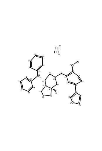 COc1ccc(-c2ccoc2)cc1CN1C[C@@H]2CCCN2[C@H](C(c2ccccc2)c2ccccc2)C1.Cl.Cl